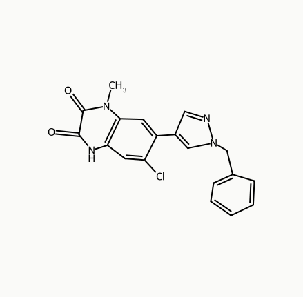 Cn1c(=O)c(=O)[nH]c2cc(Cl)c(-c3cnn(Cc4ccccc4)c3)cc21